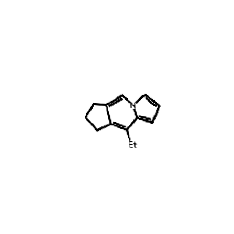 CCc1c2c(cn3cccc13)CCC2